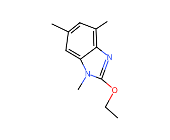 CCOc1nc2c(C)cc(C)cc2n1C